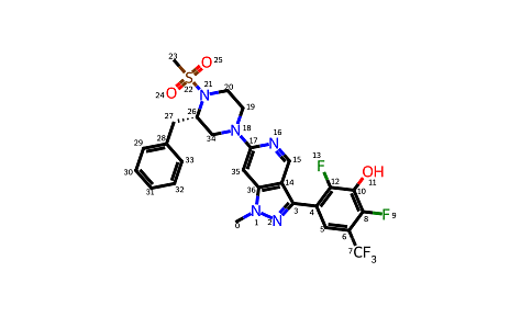 Cn1nc(-c2cc(C(F)(F)F)c(F)c(O)c2F)c2cnc(N3CCN(S(C)(=O)=O)[C@@H](Cc4ccccc4)C3)cc21